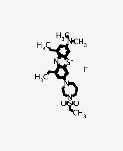 CCc1cc(N(C)C)cc2[s+]c3cc(N4CCCN(S(=O)(=O)CC)CC4)cc(CC)c3nc12.[I-]